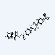 O=C(NCCC(=O)N1CCN(C2CCN(c3ccc([N+](=O)[O-])cc3)CC2)CC1)c1ncc[nH]1